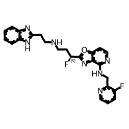 Fc1cccnc1CNc1nccc2oc([C@@H](F)CCNCCc3nc4ccccc4[nH]3)nc12